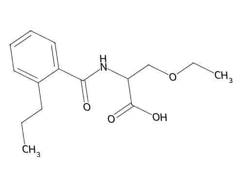 CCCc1ccccc1C(=O)NC(COCC)C(=O)O